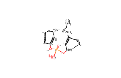 C[SiH](C)C.O=P(O)(Oc1ccccc1)Oc1ccccc1